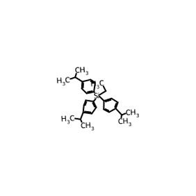 CC[Si](c1ccc(C(C)C)cc1)(c1ccc(C(C)C)cc1)c1ccc(C(C)C)cc1